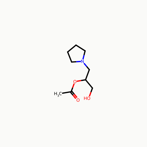 CC(=O)OC(CO)CN1CCCC1